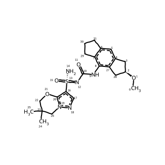 CO[C@@H]1Cc2cc3c(c(NC(=O)N=[S@](N)(=O)c4cnn5c4OCC(C)(C)C5)c2C1)CCC3